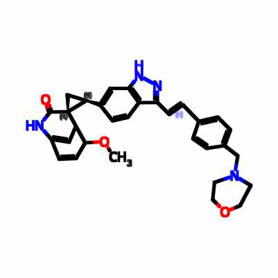 COC1C=CC2=CC1[C@]1(C[C@H]1c1ccc3c(/C=C/c4ccc(CN5CCOCC5)cc4)n[nH]c3c1)C(=O)N2